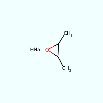 CC1OC1C.[NaH]